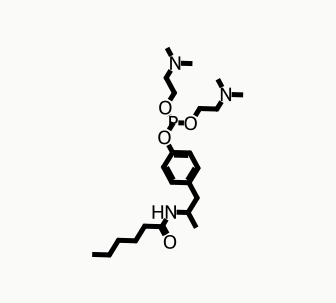 CCCCCC(=O)NC(C)Cc1ccc(OP(OCCN(C)C)OCCN(C)C)cc1